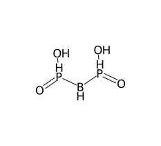 O=[PH](O)B[PH](=O)O